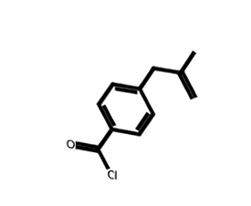 C=C(C)Cc1ccc(C(=O)Cl)cc1